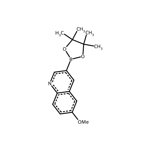 COc1ccc2ncc(B3OC(C)(C)C(C)(C)O3)cc2c1